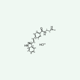 CNCCNC(=O)c1ccc(C=Cc2n[nH]c3ccccc23)cc1.Cl